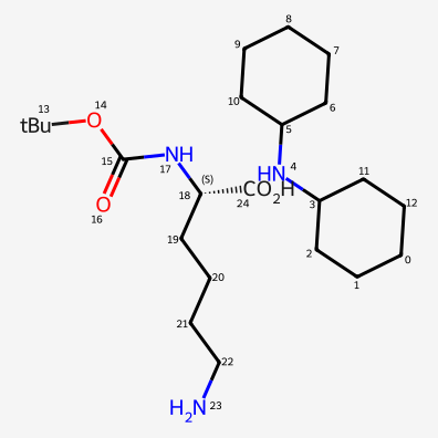 C1CCC(NC2CCCCC2)CC1.CC(C)(C)OC(=O)N[C@@H](CCCCN)C(=O)O